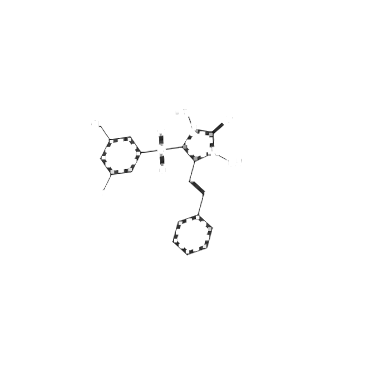 CC(C)n1c(S(=O)(=O)c2cc(Cl)cc(Cl)c2)c(C=Cc2ccccc2)n(C)c1=O